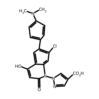 CN(C)c1ccc(-c2cc3c(O)cc(=O)n(-n4cc(C(=O)O)cn4)c3cc2Cl)cc1